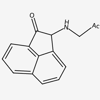 CC(=O)CNC1C(=O)c2cccc3cccc1c23